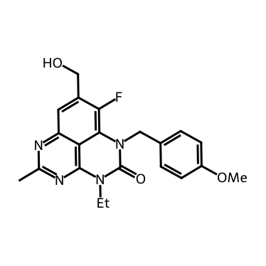 CCN1C(=O)N(Cc2ccc(OC)cc2)c2c(F)c(CO)cc3nc(C)nc1c23